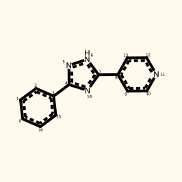 c1ccc(-c2n[nH]c(-c3ccncc3)n2)cc1